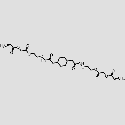 C=CC(=O)OCC(=O)OCCONC(=O)CC1CCC(CC(=O)NOCCOC(=O)COC(=O)C=C)CC1